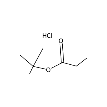 CCC(=O)OC(C)(C)C.Cl